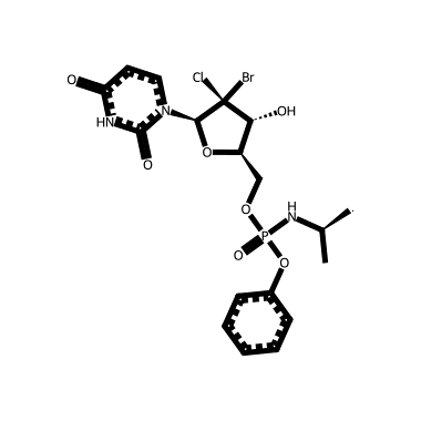 [CH2][C@@H](C)NP(=O)(OC[C@H]1O[C@@H](n2ccc(=O)[nH]c2=O)[C@](Cl)(Br)[C@@H]1O)Oc1ccccc1